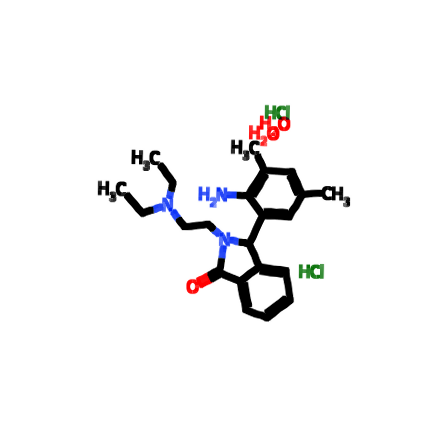 CCN(CC)CCN1C(=O)c2ccccc2C1c1cc(C)cc(C)c1N.Cl.Cl.O.O